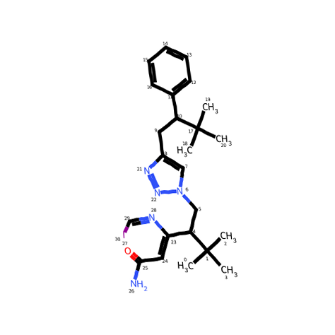 CC(C)(C)C(Cn1cc(CC(c2ccccc2)C(C)(C)C)nn1)C(=C/C(N)=O)/N=C\I